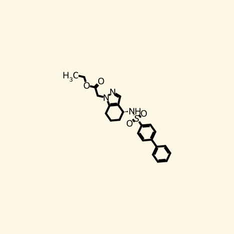 CCOC(=O)Cn1ncc2c1CCC[C@H]2NS(=O)(=O)c1ccc(-c2ccccc2)cc1